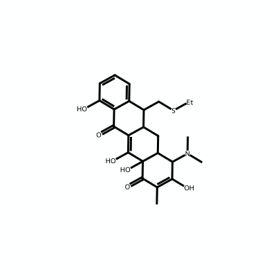 CCSCC1c2cccc(O)c2C(=O)C2=C(O)C3(O)C(=O)C(C)=C(O)C(N(C)C)C3CC21